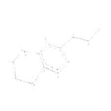 BrCCc1ccc2c(n1)NCCN2